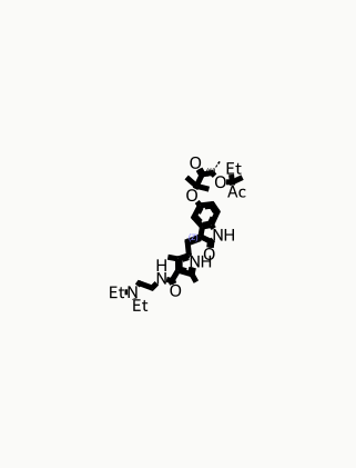 CCN(CC)CCNC(=O)c1c(C)[nH]c(/C=C2\C(=O)Nc3ccc(OC(C)(C)C(=O)[C@H](C)OC(C)(CC)C(C)=O)cc32)c1C